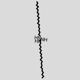 CCCCCCCCCCCCCCCCCCCCNC(=N)NCCCCCCCCCCCCCCCCCCCC